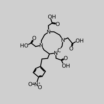 O=C(O)CN1CCN(CC(=O)O)CCN(CC(=O)O)C(CCc2ccc([N+](=O)[O-])cc2)CN(CC(=O)O)CC1